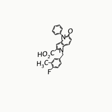 Cc1cc(Cn2c(C(=O)O)cc3c2ccc(=O)n3-c2ccccc2)ccc1F